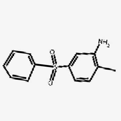 Cc1ccc(S(=O)(=O)c2ccccc2)cc1N